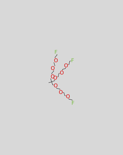 CC(COCCOCCOCCF)(COCCOCCOCCF)COCCOCCOCCF